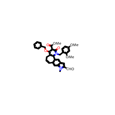 COC(=O)c1c(OCc2ccccc2)c2c(n(Cc3ccc(OC)cc3OC)c1=O)-c1cc3cc(C=O)n(C)c3cc1C=CC2